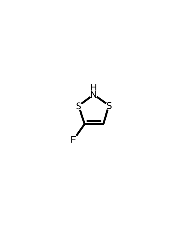 FC1=CSNS1